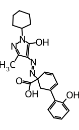 Cc1nn(C2CCCCC2)c(O)c1/N=N/C1(C(=O)O)C=CC=C(c2ccccc2O)C1